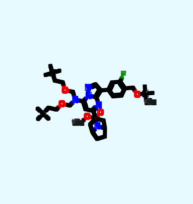 CC(C)(C)OC(=O)N1C2CCC1CC(c1cc(N(COCC[Si](C)(C)C)COCC[Si](C)(C)C)n3ncc(-c4ccc(CO[Si](C)(C)C(C)(C)C)c(F)c4)c3n1)C2